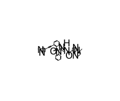 Cc1ccnc2c(C(=O)N[C@H](C)c3nc4cccc(C#Cc5cnn(C)c5)c4c(=O)n3-c3ccccc3)cnn12